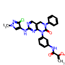 C=C(OC)C(=O)Nc1cccc(N2C(=O)N(c3ccccc3)Cc3cnc(Nc4cn(C)nc4Cl)nc32)c1